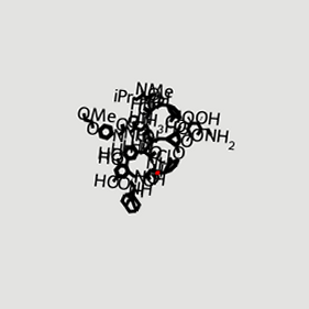 CN[C@H](CC(C)C)C(=O)N[C@H]1C(=O)N[C@@H](CC(=O)NC(=O)Nc2ccc(OCCOC)cc2)C(=O)NC2C(=O)N[C@H]3C(=O)N[C@H](C(=O)N[C@H](C(=O)NC4C5CC6CC(C5)CC4C6)c4cc(O)cc(O)c4-c4cc3ccc4O)[C@H](O)c3ccc(c(Cl)c3)Oc3cc2cc(c3O[C@@H]2O[C@H](CN)[C@@H](O)[C@H](O)[C@H]2O)Oc2ccc(cc2C)[C@H]1O